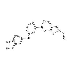 O=Cc1cc2ccc(-c3nccc(Nc4ccc5[nH]ncc5c4)n3)cc2s1